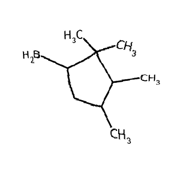 BC1CC(C)C(C)C1(C)C